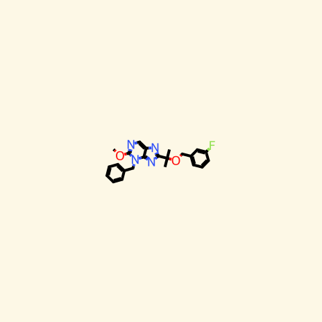 COc1ncc2nc(C(C)(C)OCc3cccc(F)c3)nc-2n1Cc1ccccc1